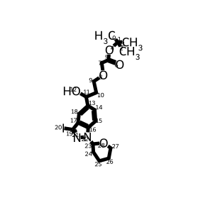 CC(C)(C)OC(=O)COCCC(O)c1ccc2c(c1)c(I)nn2C1CCCCO1